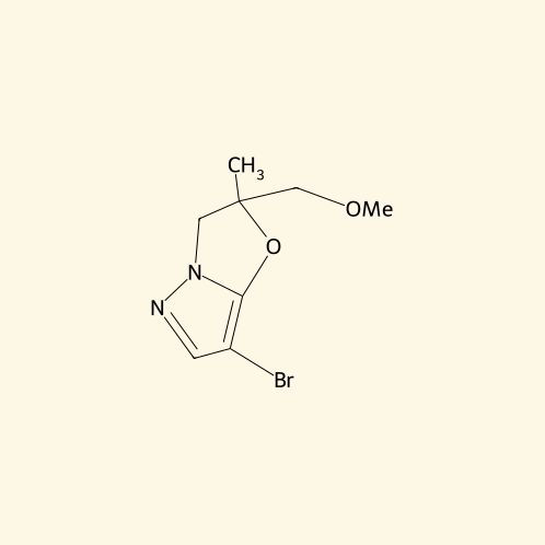 COCC1(C)Cn2ncc(Br)c2O1